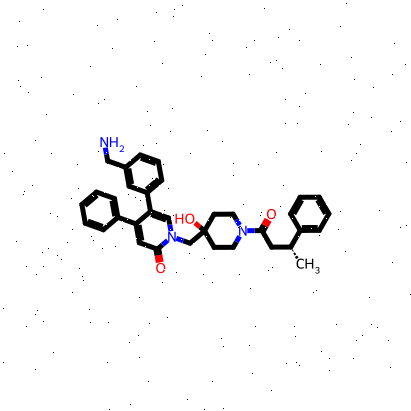 C[C@H](CC(=O)N1CCC(O)(Cn2cc(-c3cccc(CN)c3)c(-c3ccccc3)cc2=O)CC1)c1ccccc1